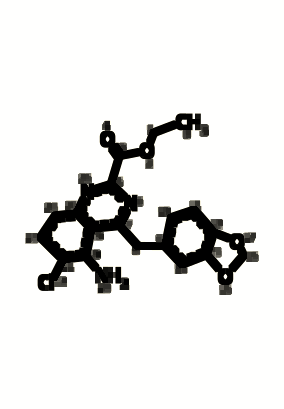 CCOC(=O)c1nc(Cc2ccc3c(c2)OCO3)c2c(N)c(Cl)ccc2n1